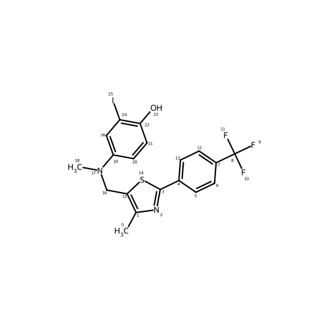 Cc1nc(-c2ccc(C(F)(F)F)cc2)sc1CN(C)c1ccc(O)c(I)c1